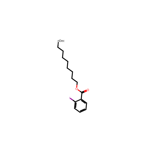 CCCCCCCCCCCCCCCCCCOC(=O)c1ccccc1I